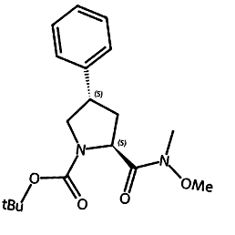 CON(C)C(=O)[C@@H]1C[C@@H](c2ccccc2)CN1C(=O)OC(C)(C)C